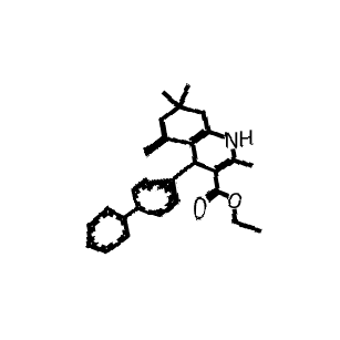 C=C1CC(C)(C)CC2=C1C(c1ccc(-c3ccccc3)cc1)C(C(=O)OCC)=C(C)N2